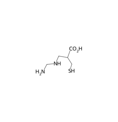 NCNCC(CS)C(=O)O